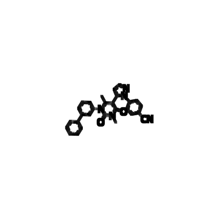 Cc1c(-c2ccnn2-c2ccc(C#N)cc2)c(=O)n(C)c(=O)n1-c1cccc(-c2ccccc2)c1